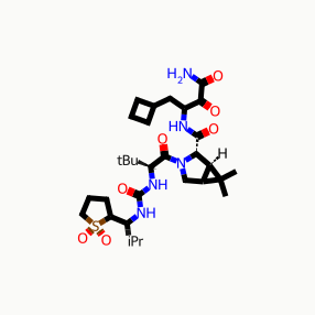 CC(C)C(NC(=O)N[C@H](C(=O)N1CC2[C@@H]([C@H]1C(=O)NC(CC1CCC1)C(=O)C(N)=O)C2(C)C)C(C)(C)C)C1CCCS1(=O)=O